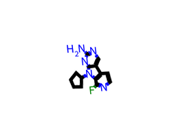 Nc1ncc2c3ccnc(F)c3n(C3CCCC3)c2n1